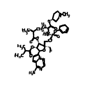 CC(C)C(=O)O[C@H]1[C@H](c2ccc3c(N)ncnn23)O[C@](CF)(CO[P@@](=O)(N[C@@H](C)C(=O)O[C@@H]2CCN(C)C2)Oc2ccccc2)[C@H]1OC(=O)C(C)C